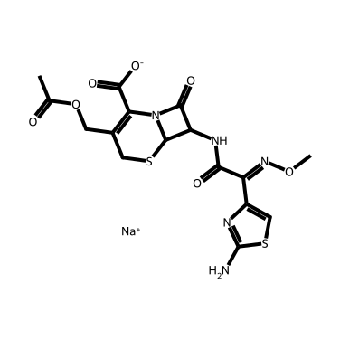 CON=C(C(=O)NC1C(=O)N2C(C(=O)[O-])=C(COC(C)=O)CSC12)c1csc(N)n1.[Na+]